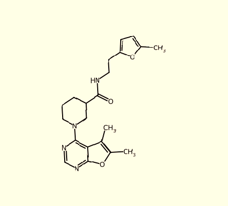 Cc1ccc(CCNC(=O)C2CCCN(c3ncnc4oc(C)c(C)c34)C2)o1